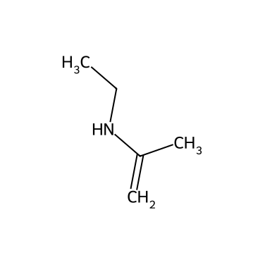 C=C(C)NCC